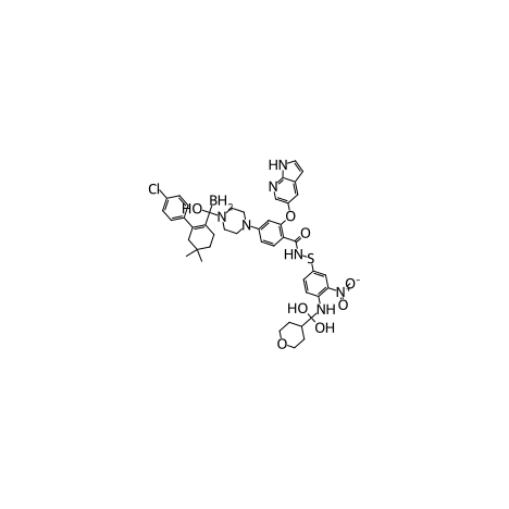 BC(O)(C1=C(c2ccc(Cl)cc2)CC(C)(C)CC1)N1CCN(c2ccc(C(=O)NSc3ccc(NC(O)(O)C4CCOCC4)c([N+](=O)[O-])c3)c(Oc3cnc4[nH]ccc4c3)c2)CC1